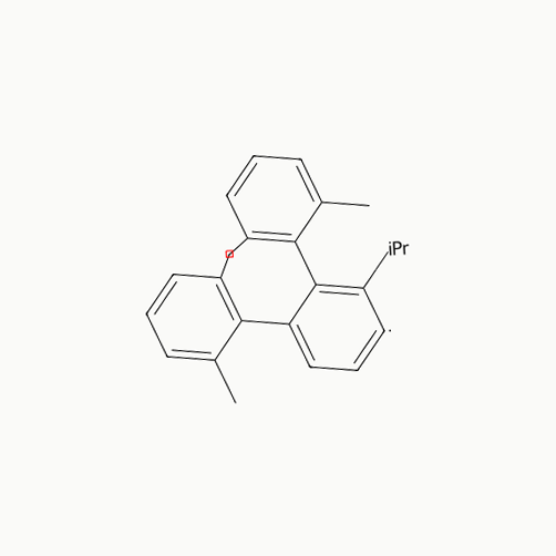 Cc1cccc(C)c1-c1cc[c]c(C(C)C)c1-c1c(C)cccc1C